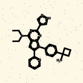 CCN(CC)c1nc(-c2cn[nH]c2)nc2c1cc(-c1ccccn1)n2-c1ccc(C2(N)CCC2)cc1